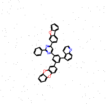 c1ccc(-c2nc(-c3cc(-c4ccc5c(c4)Oc4ccccc4O5)cc(-c4cccc5ncccc45)c3)cc(-c3ccc4c(c3)oc3ccccc34)n2)cc1